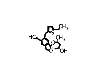 C#Cc1cc2c(cc1Cc1ccc(CC)s1)[C@]1(C[C@@H](O)C[C@@H](C)O1)OC2